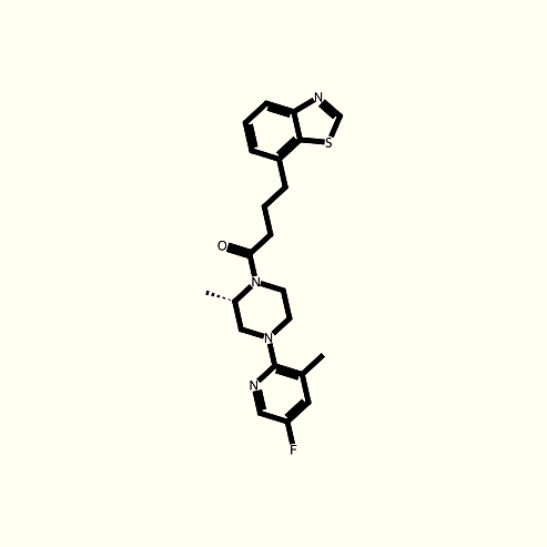 Cc1cc(F)cnc1N1CCN(C(=O)CCCc2cccc3ncsc23)[C@@H](C)C1